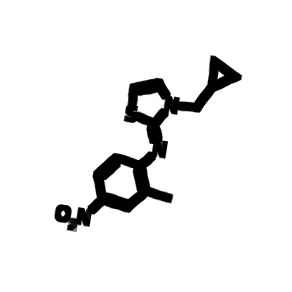 Cc1cc([N+](=O)[O-])ccc1N=c1sccn1CC1CC1